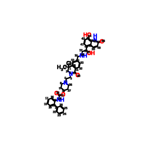 CC1(C)CN(CCN2CCC(OC(=O)Nc3ccccc3-c3ccccc3)CC2)C(=O)c2ccc(CNCC(O)c3ccc(O)c4[nH]c(=O)ccc34)cc21